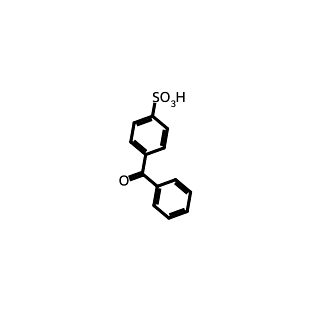 O=C(c1ccccc1)c1ccc(S(=O)(=O)O)cc1